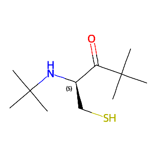 CC(C)(C)N[C@H](CS)C(=O)C(C)(C)C